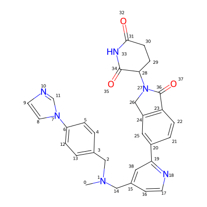 CN(Cc1ccc(-n2ccnc2)cc1)Cc1ccnc(-c2ccc3c(c2)CN(C2CCC(=O)NC2=O)C3=O)c1